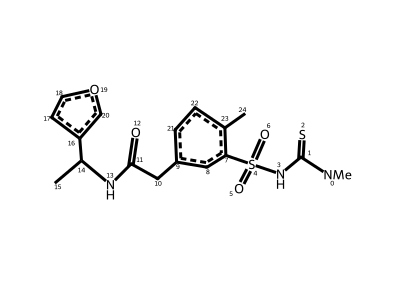 CNC(=S)NS(=O)(=O)c1cc(CC(=O)NC(C)c2ccoc2)ccc1C